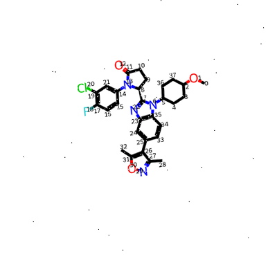 COC1CCC(n2c([C@@H]3CCC(=O)N3c3ccc(F)c(Cl)c3)nc3cc(-c4c(C)noc4C)ccc32)CC1